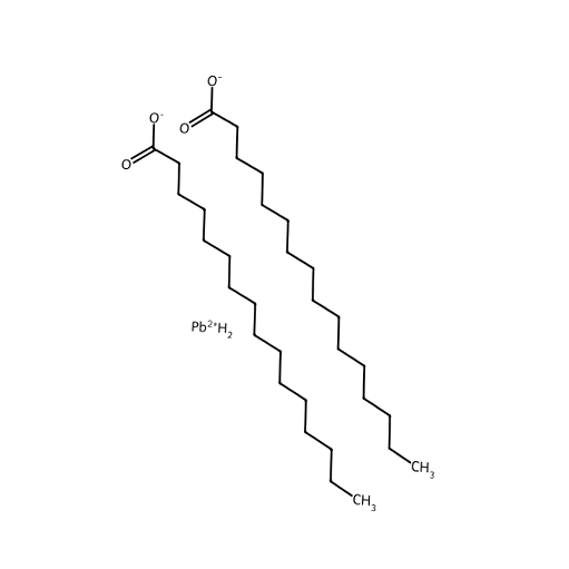 CCCCCCCCCCCCCCCC(=O)[O-].CCCCCCCCCCCCCCCC(=O)[O-].[PbH2+2]